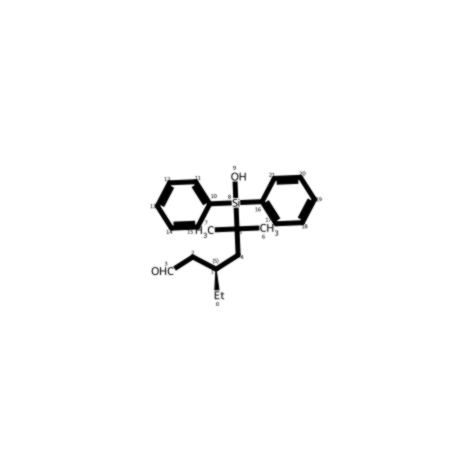 CC[C@@H](CC=O)CC(C)(C)[Si](O)(c1ccccc1)c1ccccc1